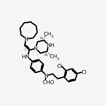 C[C@@H]1CN(/C(=C\N2CCCCCCC2)Nc2ccc(N(C=O)CCc3ccc(Cl)cc3Cl)cc2)C[C@H](C)N1